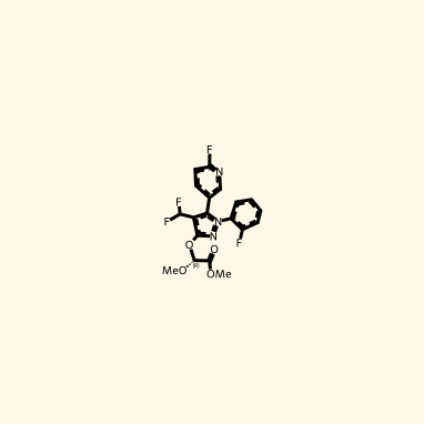 COC(=O)[C@H](OC)Oc1nn(-c2ccccc2F)c(-c2ccc(F)nc2)c1C(F)F